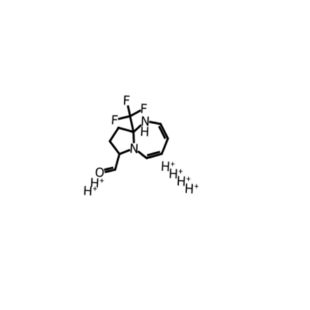 O=CC1CCC2(C(F)(F)F)NC=CC=CN12.[H+].[H+].[H+].[H+].[H+].[H+]